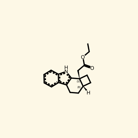 CCOC(=O)C[C@@]12CC[C@@H]1CCc1c2[nH]c2ccccc12